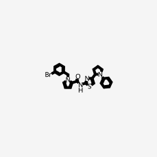 O=C(Nc1nc(C2CCCN2c2ccccc2)cs1)c1cccn1Cc1cccc(Br)c1